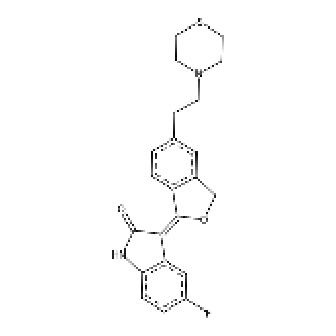 O=C1Nc2ccc(F)cc2/C1=C1\OCc2cc(CCN3CCSCC3)ccc21